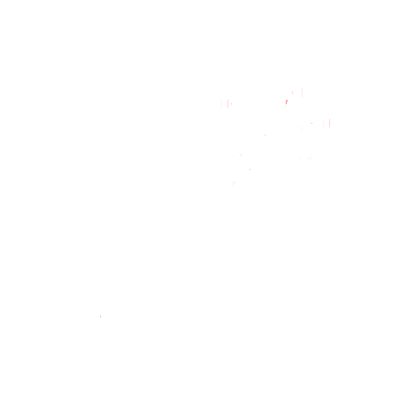 CCCCCCCCCCC/C=C/C(=O)C[C@@H]1OC(CO)[C@@H](O)[C@H](O)C1O